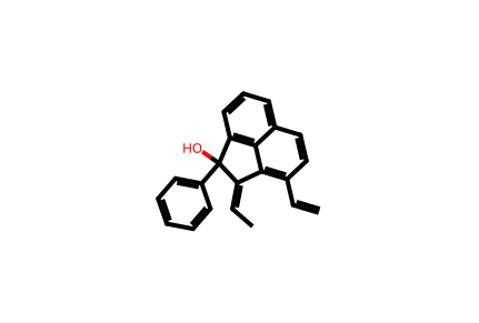 C=Cc1ccc2cccc3c2c1/C(=C\C)C3(O)c1ccccc1